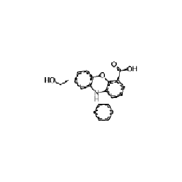 CCO.O=C(O)c1cccc2c1Oc1ccccc1N2.c1ccccc1